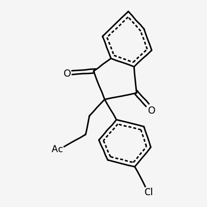 CC(=O)CCC1(c2ccc(Cl)cc2)C(=O)c2ccccc2C1=O